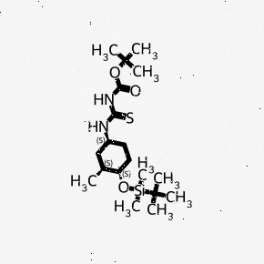 C[C@H]1C[C@@H](NC(=S)NC(=O)OC(C)(C)C)CC[C@@H]1O[Si](C)(C)C(C)(C)C